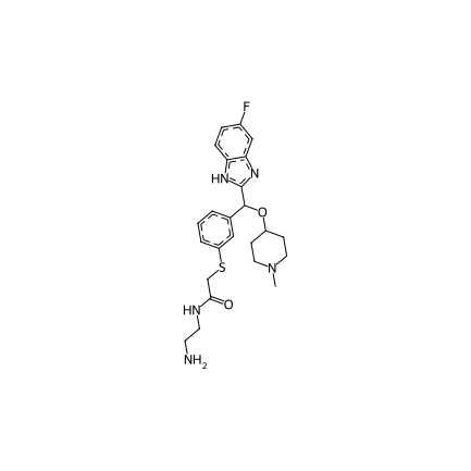 CN1CCC(OC(c2cccc(SCC(=O)NCCN)c2)c2nc3cc(F)ccc3[nH]2)CC1